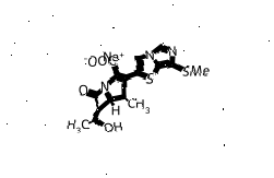 CSc1ncn2cc(C3=C(C(=O)[O-])N4C(=O)[C@H]([C@@H](C)O)[C@H]4[C@H]3C)sc12.[Na+]